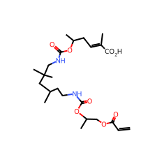 C=CC(=O)OCC(C)OC(=O)NCCC(C)CC(C)(C)CNC(=O)OC(C)CC=C(C)C(=O)O